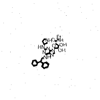 CCNC(=O)[C@H]1O[C@@H](n2cnc3c(NCC(c4ccccc4)c4ccccc4)nc(NC4CCNC4)nc32)[C@H](O)[C@@H]1O